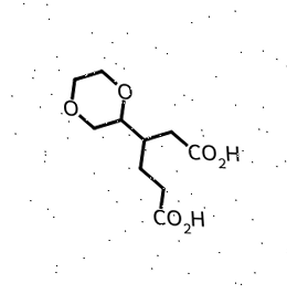 O=C(O)CCC(CC(=O)O)C1COCCO1